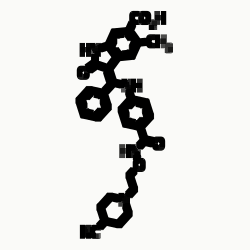 Cc1cc2c(cc1C(=O)O)NC(=O)C2=C(Nc1ccc(C(=O)NOCCN2CCC(C#N)CC2)cc1)c1ccccc1